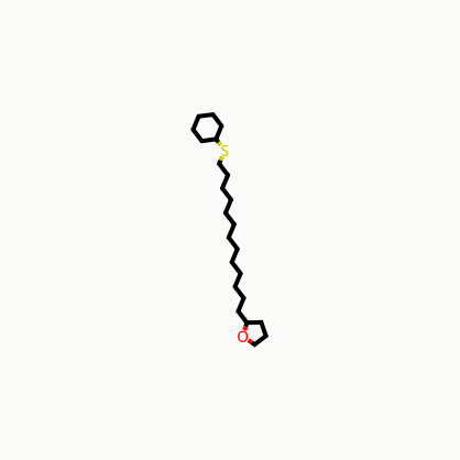 C(CCCCCCSC1CCCCC1)CCCCCCC1CCCO1